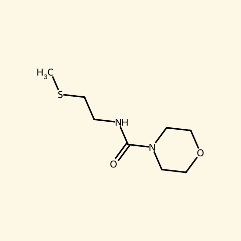 CSCCNC(=O)N1CCOCC1